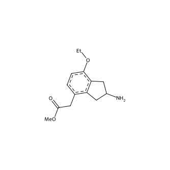 CCOc1ccc(CC(=O)OC)c2c1CC(N)C2